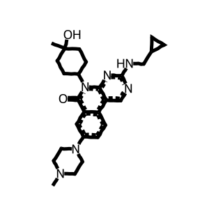 CN1CCN(c2ccc3c(c2)c(=O)n(C2CCC(C)(O)CC2)c2nc(NCC4CC4)ncc32)CC1